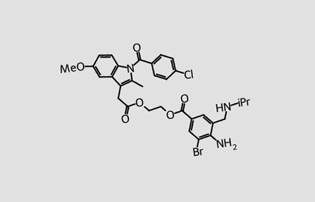 COc1ccc2c(c1)c(CC(=O)OCCOC(=O)c1cc(Br)c(N)c(CNC(C)C)c1)c(C)n2C(=O)c1ccc(Cl)cc1